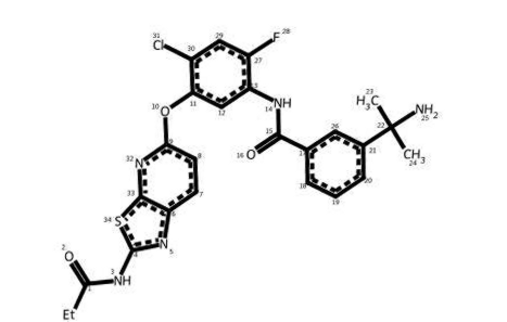 CCC(=O)Nc1nc2ccc(Oc3cc(NC(=O)c4cccc(C(C)(C)N)c4)c(F)cc3Cl)nc2s1